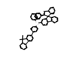 CC1(C)c2ccccc2-c2ccc(-c3ccc(N(c4ccccc4)c4ccc5c(c4)C4(c6ccccc6-5)c5ccccc5-c5oc6ccccc6c54)cc3)cc21